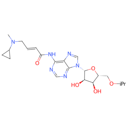 CC(C)OC[C@H]1O[C@@H](n2cnc3c(NC(=O)/C=C/CN(C)C4CC4)ncnc32)[C@H](O)[C@@H]1O